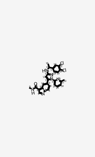 CNC(=O)c1cnn2ccc(-c3cc(NC(C)c4ccc(Cl)c(Cl)c4)nn3-c3cccc(C)n3)cc12